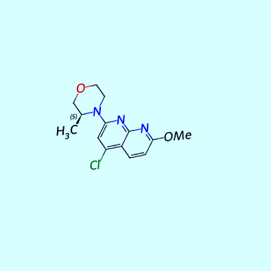 COc1ccc2c(Cl)cc(N3CCOC[C@@H]3C)nc2n1